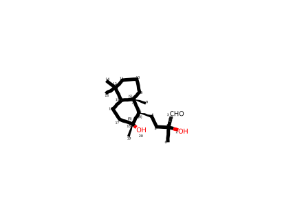 CC(O)(C=O)CC[C@@H]1[C@@]2(C)CCCC(C)(C)C2CC[C@@]1(C)O